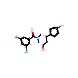 CN(C[C@@H](CCO)c1ccc(F)cc1)C(=O)c1cc(Br)cc(Br)c1